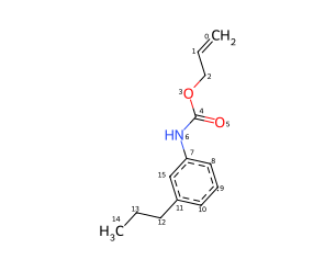 C=CCOC(=O)Nc1c[c]cc(CCC)c1